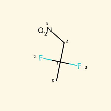 CC(F)(F)C[N+](=O)[O-]